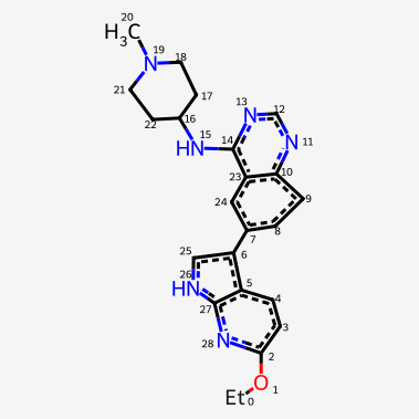 CCOc1ccc2c(-c3ccc4ncnc(NC5CCN(C)CC5)c4c3)c[nH]c2n1